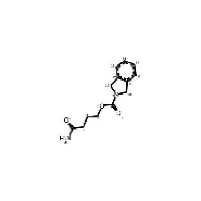 NC(=O)CCCOC(=O)N1Cc2ccccc2C1